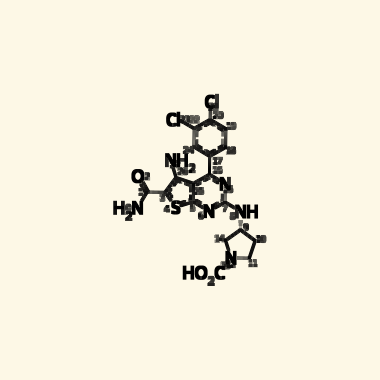 NC(=O)c1sc2nc(N[C@@H]3CCN(C(=O)O)C3)nc(-c3ccc(Cl)c(Cl)c3)c2c1N